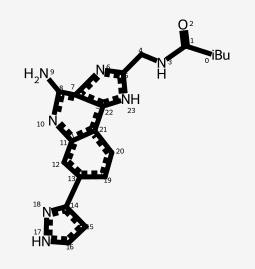 CCC(C)C(=O)NCc1nc2c(N)nc3cc(-c4cc[nH]n4)ccc3c2[nH]1